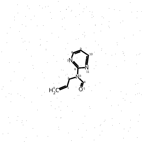 C=CCN(C=O)c1ncccn1